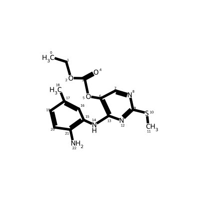 CCOC(=O)Oc1cnc(SC)nc1Nc1cc(C)ccc1N